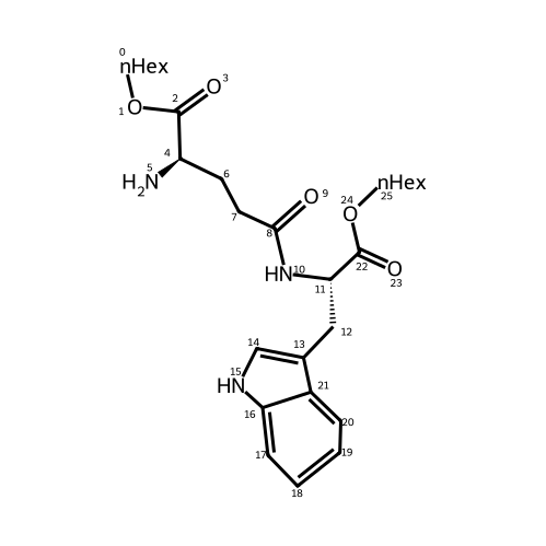 CCCCCCOC(=O)[C@H](N)CCC(=O)N[C@@H](Cc1c[nH]c2ccccc12)C(=O)OCCCCCC